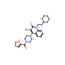 N#Cc1c(N2CCN(C(=O)C3=CCCO3)CC2)c2ccccc2n(CCC2CCCCC2)c1=O